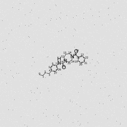 CCCCc1ccc(NC(=O)N2CCCN(C(=O)c3ccccc3)CC2)cc1